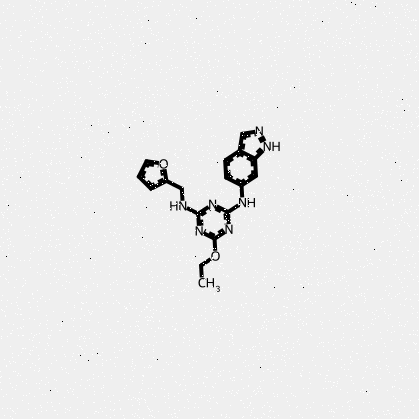 CCOc1nc(NCc2ccco2)nc(Nc2ccc3cn[nH]c3c2)n1